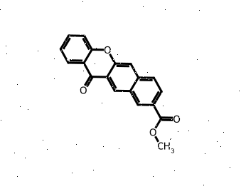 COC(=O)c1ccc2cc3oc4ccccc4c(=O)c3cc2c1